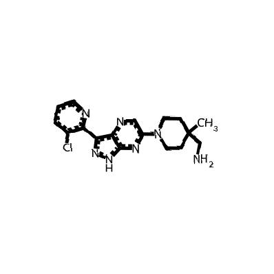 CC1(CN)CCN(c2cnc3c(-c4ncccc4Cl)n[nH]c3n2)CC1